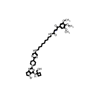 COc1cc(C(=O)/C=C/C(=O)NCCCCCCCCCNc2cnc(C3CCN(c4nc5c(c(NC6(CO)CCC6)n4)[S@+]([O-])CC5)CC3)nc2)cc(OC)c1OC